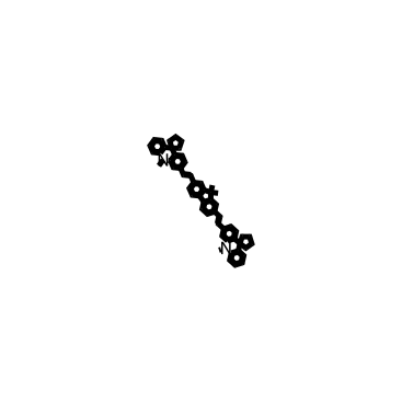 CN1c2ccccc2C2(CCCC2)c2ccc(/C=C/c3ccc4c(c3)C(C)(C)c3cc(/C=C/c5ccc6c(c5)N(C)c5ccccc5C65CCCC5)ccc3-4)cc21